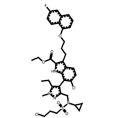 CCOC(=O)c1[nH]c2c(-c3c(CN(C4CC4)S(=O)(=O)CCCCl)nn(C)c3CC)c(Cl)ccc2c1CCCOc1cccc2cc(F)ccc12